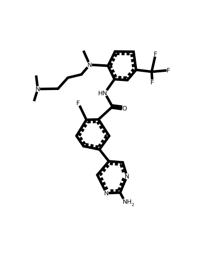 CN(C)CCCN(C)c1ccc(C(F)(F)F)cc1NC(=O)c1cc(-c2cnc(N)nc2)ccc1F